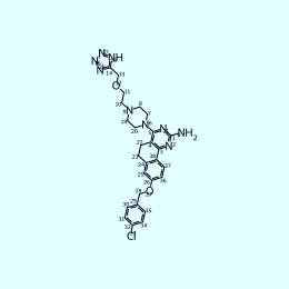 Nc1nc2c(c(N3CCN(CCOCc4nnn[nH]4)CC3)n1)CCc1cc(OCc3ccc(Cl)cc3)ccc1-2